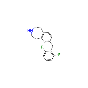 Fc1cccc(F)c1Cc1ccc2c(c1)CCNCC2